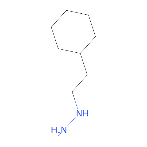 NNCCC1CCCCC1